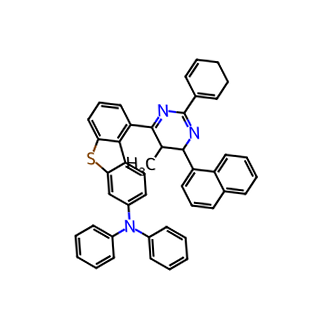 CC1C(c2cccc3sc4cc(N(c5ccccc5)c5ccccc5)ccc4c23)=NC(C2=CCCC=C2)=NC1c1cccc2ccccc12